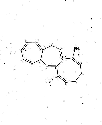 BC1=CCCC=C(S)C2=CC3C=CC=CC=C3CC=C12